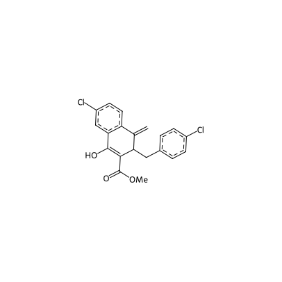 C=C1c2ccc(Cl)cc2C(O)=C(C(=O)OC)C1Cc1ccc(Cl)cc1